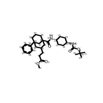 COC(=O)CCC1CC2(C(=O)N[C@H]3CC[C@H](NC(=O)OC(C)(C)C)CC3)CCCC(c3ccccc3)(C1)C2